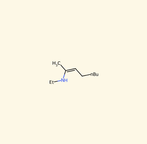 CCCCCC=C(C)NCC